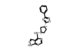 c1ccc(-c2noc([C@@H]3CC[C@H](Nc4ncnc5[nH]ncc45)C3)n2)cc1